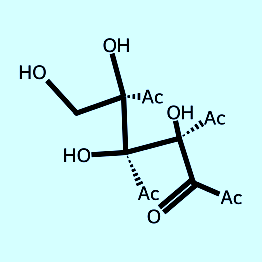 CC(=O)C(=O)[C@@](O)(C(C)=O)[C@](O)(C(C)=O)[C@](O)(CO)C(C)=O